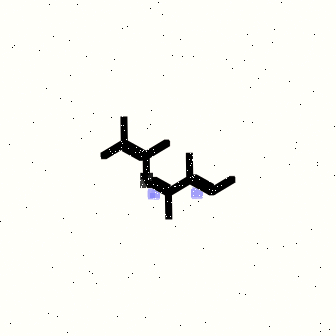 C/C=C(C)/C(C)=N\C(C)=C(C)C